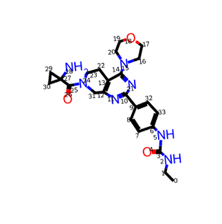 CCNC(=O)Nc1ccc(-c2nc3c(c(N4CCOCC4)n2)CCN(C(=O)C2(N)CC2)C3)cc1